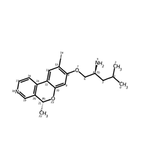 CC(C)C[C@H](N)COc1cc2c(cc1I)-c1ccncc1[C@@H](C)O2